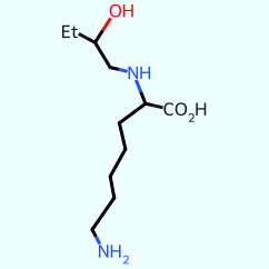 CCC(O)CNC(CCCCCN)C(=O)O